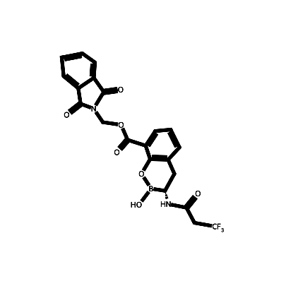 O=C(CC(F)(F)F)N[C@H]1Cc2cccc(C(=O)OCN3C(=O)c4ccccc4C3=O)c2OB1O